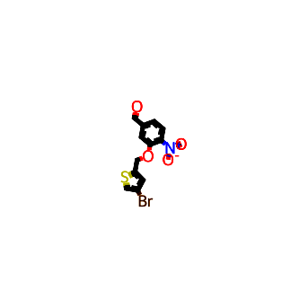 O=Cc1ccc([N+](=O)[O-])c(OCc2cc(Br)cs2)c1